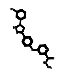 CNC(=O)c1cc(Oc2ccc(C3=NNC(c4cccc(Br)c4)C3)cc2)ccn1